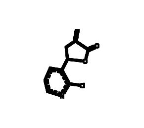 C=C1CC(c2cccnc2Cl)OC1=O